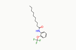 CCCCCCCCCC(=O)Nc1ccccc1OC(F)(F)F